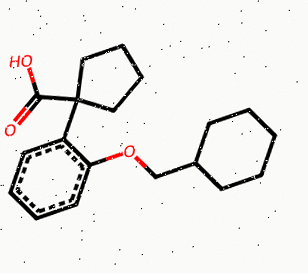 O=C(O)C1(c2ccccc2OCC2CCCCC2)CCCC1